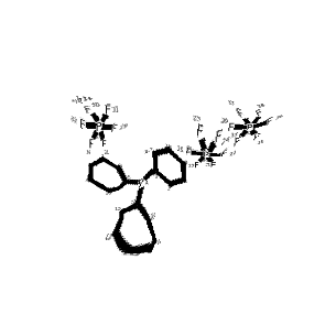 C1CCC(P(C2CCCCC2)C2CCCCC2)CC1.F[P-](F)(F)(F)(F)F.F[P-](F)(F)(F)(F)F.F[P-](F)(F)(F)(F)F.[Ir+3]